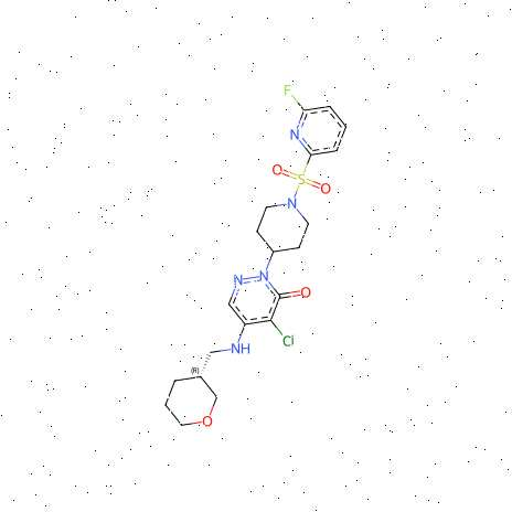 O=c1c(Cl)c(NC[C@H]2CCCOC2)cnn1C1CCN(S(=O)(=O)c2cccc(F)n2)CC1